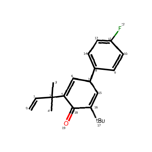 C=CC(C)(C)C1=CC(c2ccc(F)cc2)C=C(C(C)(C)C)C1=O